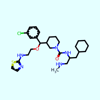 CNCC(CC1CCCCC1)NC(=O)N1CCCC(C(OCCNc2nccs2)c2cccc(Cl)c2)C1